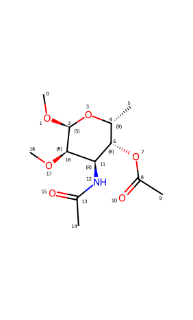 CO[C@H]1O[C@H](C)[C@H](OC(C)=O)[C@@H](NC(C)=O)[C@H]1OC